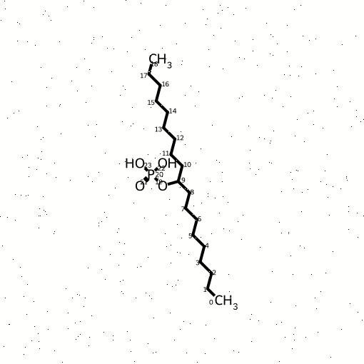 CCCCCCCCCC(CCCCCCCCC)OP(=O)(O)O